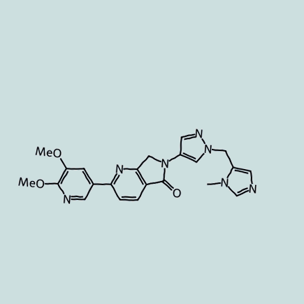 COc1cc(-c2ccc3c(n2)CN(c2cnn(Cc4cncn4C)c2)C3=O)cnc1OC